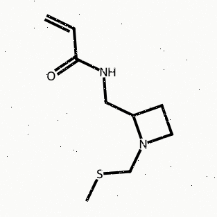 C=CC(=O)NCC1CCN1CSC